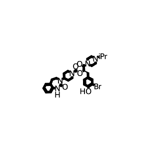 CC(C)N1CCN(C(=O)[C@@H](Cc2ccc(O)c(Br)c2)OC(=O)N2CCC(N3CCc4ccccc4NC3=O)CC2)CC1